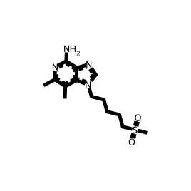 Cc1nc(N)c2ncn(CCCCCS(C)(=O)=O)c2c1C